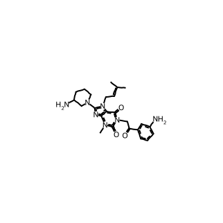 CC(C)=CCn1c(N2CCCC(N)C2)nc2c1c(=O)n(CC(=O)c1cccc(N)c1)c(=O)n2C